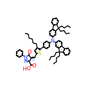 CCCCCCc1cc(/C=C2\C(=O)N(c3ccccc3)N=C2C(=O)O)sc1-c1ccc(N(c2ccc3c(c2)C(CCCC)(CCCC)c2ccccc2-3)c2ccc3c(c2)C(CCCC)(CCCC)c2ccccc2-3)cc1